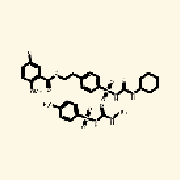 CCCCNC(=O)NS(=O)(=O)c1ccc(C)cc1.COc1ccc(Cl)cc1C(=O)NCCc1ccc(S(=O)(=O)NC(=O)NC2CCCCC2)cc1